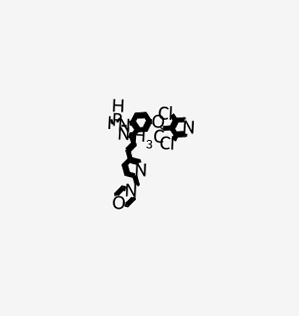 CC(Oc1ccc2c(c1)c(/C=C/c1ccc(CN3CCOCC3)nc1)nn2PI)c1c(Cl)cncc1Cl